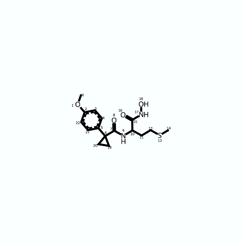 COc1ccc(C2(C(=O)NC(CCSC)C(=O)NO)CC2)cc1